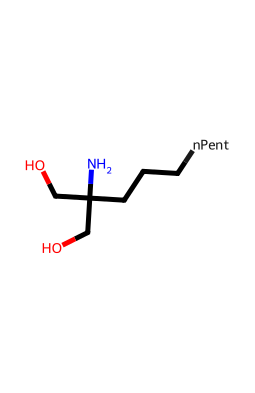 CCCCCCCCC(N)(CO)CO